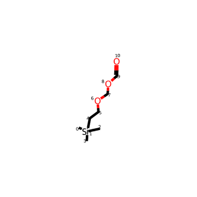 C[Si](C)(C)CCOCO[C]=O